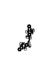 COc1cc2c(cc1OCCCOc1cc3c(cc1OC)C(=O)N1Cc4ccccc4C[C@H]1C(=O)N3C)N(C)C(=O)[C@@H]1Cc3ccccc3CN1C2=O